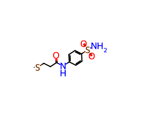 NS(=O)(=O)c1ccc(NC(=O)CC[S])cc1